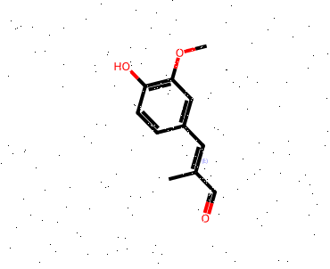 COc1cc(/C=C(\C)C=O)ccc1O